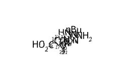 CCCCNc1nc(N)nc2cnn(Cc3ccc(C(=O)O)cc3OC3CC3)c12